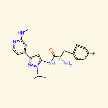 CNc1cc(-c2cc(NC(=O)[C@@H](N)Cc3ccc(F)cc3)n(C(C)C)n2)ccn1